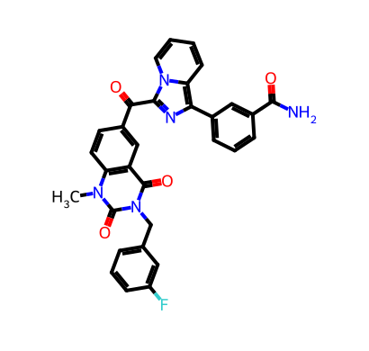 Cn1c(=O)n(Cc2cccc(F)c2)c(=O)c2cc(C(=O)c3nc(-c4cccc(C(N)=O)c4)c4ccccn34)ccc21